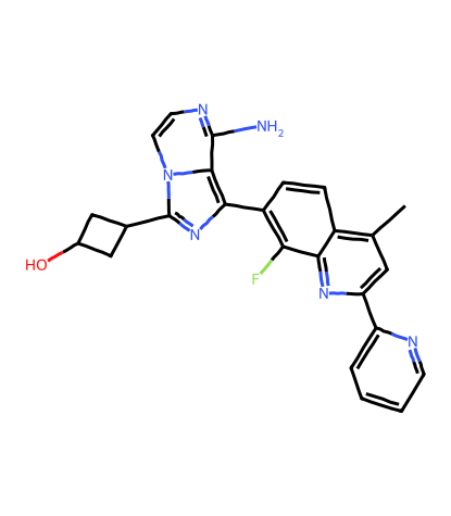 Cc1cc(-c2ccccn2)nc2c(F)c(-c3nc(C4CC(O)C4)n4ccnc(N)c34)ccc12